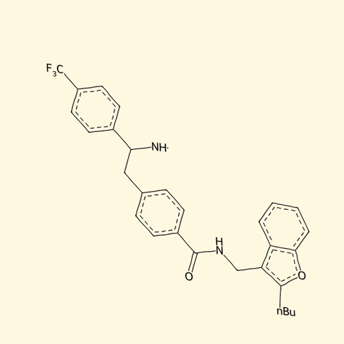 CCCCc1oc2ccccc2c1CNC(=O)c1ccc(CC([NH])c2ccc(C(F)(F)F)cc2)cc1